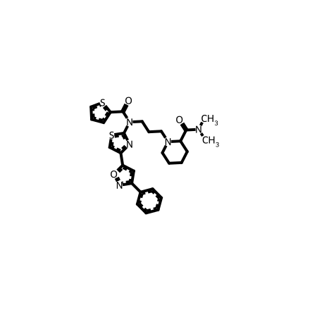 CN(C)C(=O)C1CCCCN1CCCN(C(=O)c1cccs1)c1nc(-c2cc(-c3ccccc3)no2)cs1